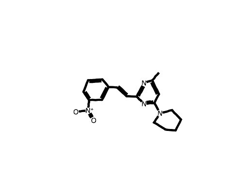 Cc1cc(N2CCCCC2)nc(/C=C/c2cccc([N+](=O)[O-])c2)n1